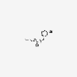 CCCCOC(=O)C(C)(C)Cc1cccc(Br)c1